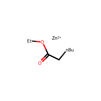 CCCCCC(=O)OCC.[Zn+2]